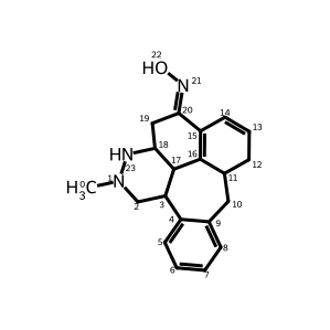 CN1CC2c3ccccc3CC3CC=CC4=C3C2C(CC4=NO)N1